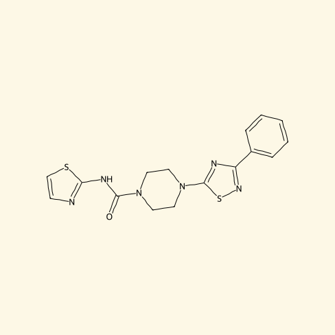 O=C(Nc1nccs1)N1CCN(c2nc(-c3ccccc3)ns2)CC1